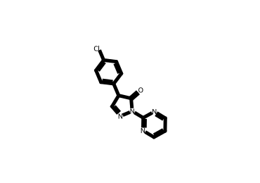 O=C1C(c2ccc(Cl)cc2)C=NN1c1ncccn1